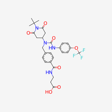 CC(C)(C)N1C(=O)CC(N(Cc2ccc(C(=O)NCCC(=O)O)cc2)C(=O)Nc2ccc(OC(F)(F)F)cc2)CC1=O